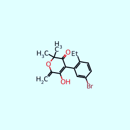 C=C1OC(C)(C)C(=O)C(c2cc(Br)ccc2CC)=C1O